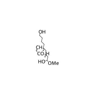 C=CC(=O)O.COC(O)CCCCCCCCO